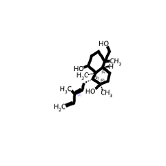 C=C/C(C)=C/C[C@@H]1[C@@]2(C)C(O)CCC(C)(CO)[C@@H]2CC[C@@]1(C)O